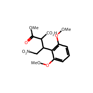 COOc1cccc(OOC)c1C(C[N+](=O)[O-])C(C(=O)O)C(=O)OC